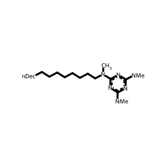 CCCCCCCCCCCCCCCCCCN(C)c1nc(NC)nc(NC)n1